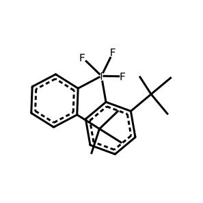 CC(C)(C)c1ccccc1I(F)(F)(F)c1ccccc1C(C)(C)C